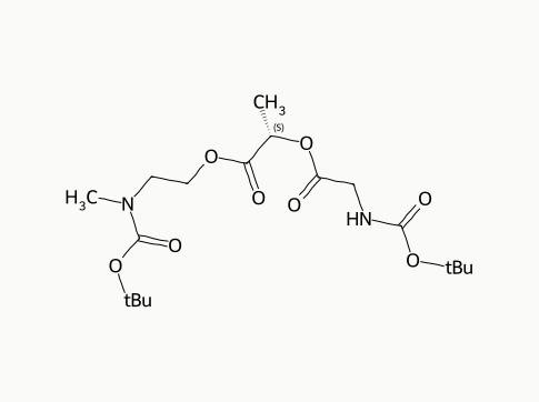 C[C@H](OC(=O)CNC(=O)OC(C)(C)C)C(=O)OCCN(C)C(=O)OC(C)(C)C